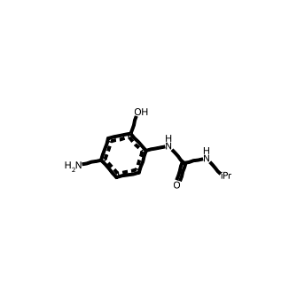 CC(C)NC(=O)Nc1ccc(N)cc1O